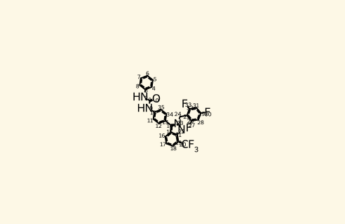 O=C(Nc1ccccc1)Nc1ccc(-c2c3cccc(C(F)(F)F)c3nn2Cc2c(F)cc(F)cc2F)cc1